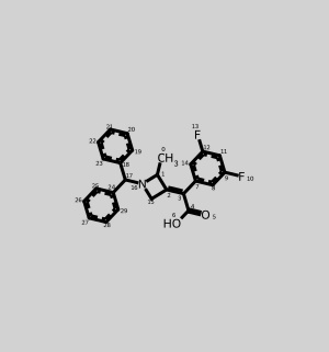 CC1C(=C(C(=O)O)c2cc(F)cc(F)c2)CN1C(c1ccccc1)c1ccccc1